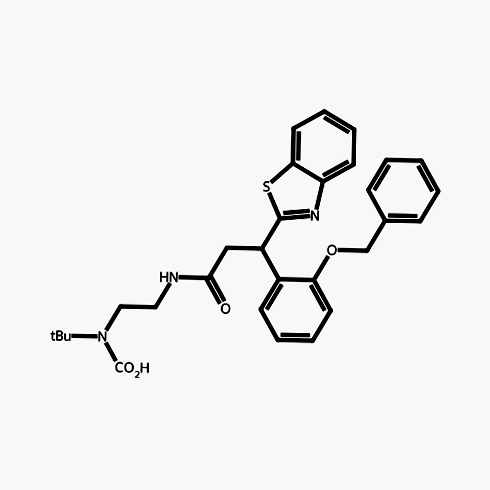 CC(C)(C)N(CCNC(=O)CC(c1nc2ccccc2s1)c1ccccc1OCc1ccccc1)C(=O)O